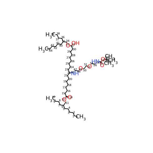 CCCCCCC(CCCC)COC(=O)CCCCCCCC(CCCCCCCCC(O)OCC(CCCC)CCCCCC)NCCOCCOCCNC(=O)OC(C)(C)C